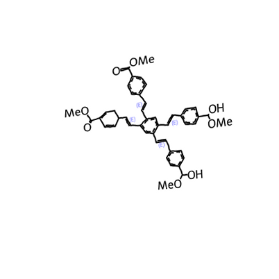 COC(=O)C1=CCC(/C=C/c2cc(/C=C/c3ccc(C(O)OC)cc3)c(/C=C/c3ccc(C(O)OC)cc3)cc2/C=C/c2ccc(C(=O)OC)cc2)C=C1